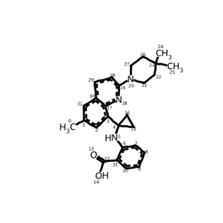 Cc1cc(C2(Nc3ccccc3C(=O)O)CC2)c2nc(N3CCC(C)(C)CC3)ccc2c1